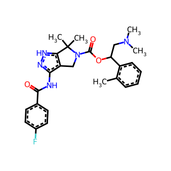 Cc1ccccc1C(CN(C)C)OC(=O)N1Cc2c(NC(=O)c3ccc(F)cc3)n[nH]c2C1(C)C